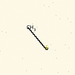 CCCCCCCCCCCCCCCCCCCCCCc1cccs1